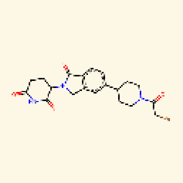 O=C1CCC(N2Cc3cc(C4CCN(C(=O)CBr)CC4)ccc3C2=O)C(=O)N1